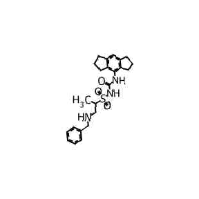 CC(CNCc1ccccc1)S(=O)(=O)NC(=O)Nc1c2c(cc3c1CCC3)CCC2